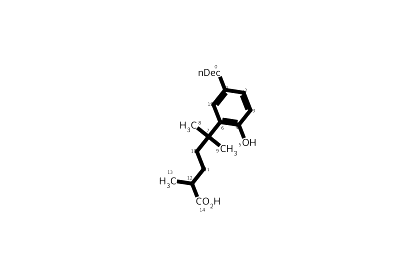 CCCCCCCCCCc1ccc(O)c(C(C)(C)CCC(C)C(=O)O)c1